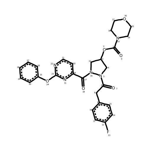 O=C(OC1CN(C(=O)Cc2ccc(F)cc2)N(C(=O)c2ccnc(Oc3ccccc3)n2)C1)N1CCOCC1